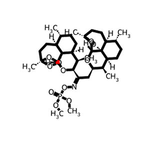 COP(=O)(OC)O/N=C(/C[C@H]1O[C@@H]2O[C@]3(C)CC[C@H]4[C@H](C)CC[C@@H]([C@H]1C)[C@@]24OO3)[C@H]1O[C@@H]2O[C@]3(C)CC[C@H]4[C@H](C)CC[C@@H]([C@H]1C)[C@@]24OO3